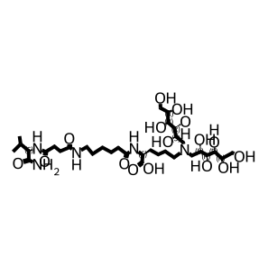 CC(C)[C@H](NC(=O)CCC(=O)NCCCCCC(=O)N[C@@H](CCCCN(C[C@H](O)[C@@H](O)[C@H](O)[C@H](O)CO)C[C@H](O)[C@@H](O)[C@H](O)[C@H](O)CO)C(=O)O)C(N)=O